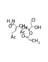 C=CC(=O)OCC(O)CCl.CC(=O)CC=C(C)C(N)=O.CC(C)=O